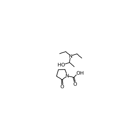 CCN(CC)C(C)O.O=C(O)N1CCCC1=O